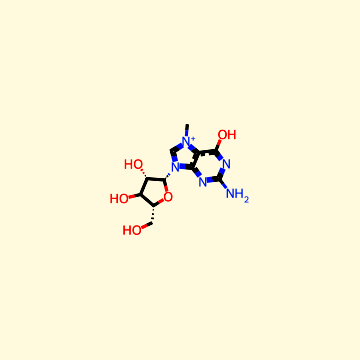 C[n+]1cn([C@@H]2O[C@H](CO)C(O)[C@@H]2O)c2nc(N)nc(O)c21